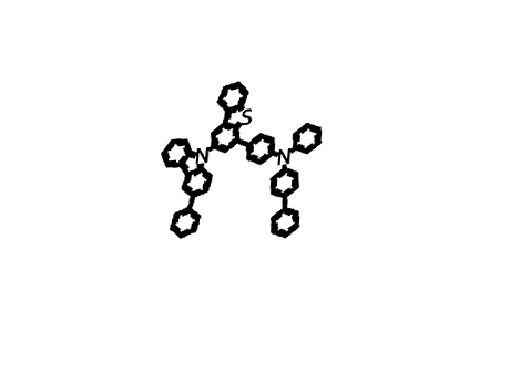 c1ccc(-c2ccc(N(c3ccccc3)c3ccc(-c4cc(-n5c6ccccc6c6cc(-c7ccccc7)ccc65)cc5c4sc4ccccc45)cc3)cc2)cc1